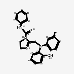 Cc1cccc(N(CC2=NCCN2C(=S)Nc2ccccc2)c2ccccc2O)c1